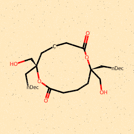 CCCCCCCCCCC[C@@]1(CO)CCCC(=O)O[C@](CO)(CCCCCCCCCCC)CCCC(=O)O1